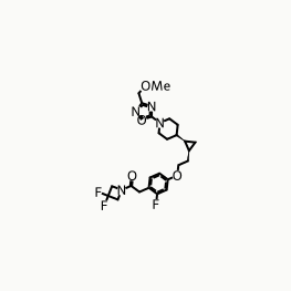 COCc1noc(N2CCC([C@H]3C[C@H]3CCOc3ccc(CC(=O)N4CC(F)(F)C4)c(F)c3)CC2)n1